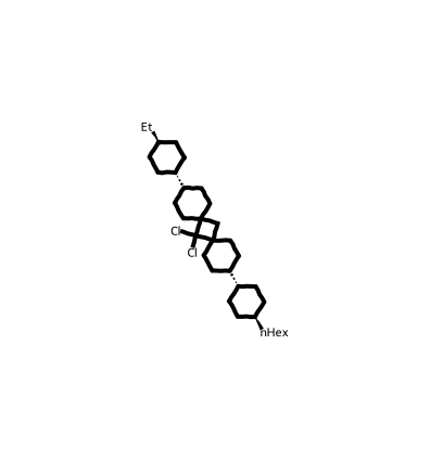 CCCCCC[C@H]1CC[C@H](C2CCC3(CC2)CC2(CCC([C@H]4CC[C@H](CC)CC4)CC2)C3(Cl)Cl)CC1